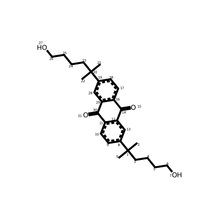 CC(C)(CCCCO)c1ccc2c(c1)C(=O)c1ccc(C(C)(C)CCCCO)cc1C2=O